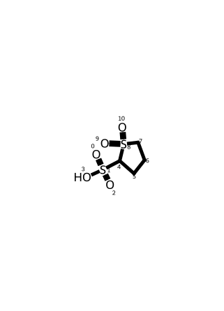 O=S(=O)(O)C1CCCS1(=O)=O